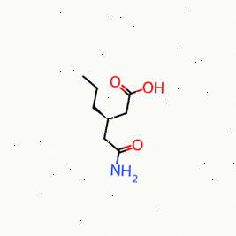 CCC[C@H](CC(N)=O)CC(=O)O